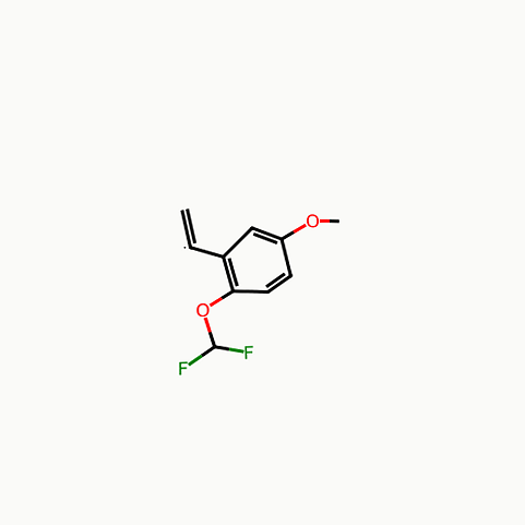 C=[C]c1cc(OC)ccc1OC(F)F